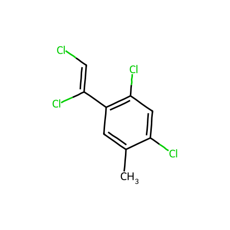 Cc1cc(C(Cl)=CCl)c(Cl)cc1Cl